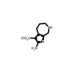 CCOC(=O)c1c(N)sc2c1CCCNC2